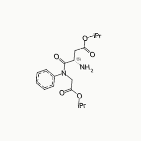 CC(C)OC(=O)C[C@H](N)C(=O)N(CC(=O)OC(C)C)c1ccccc1